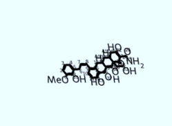 COc1cccc(C/C=C\c2ccc(O)c3c2C[C@H]2C[C@H]4CC(O)=C(C(N)=O)C(=O)C4(CCO)C(O)=C2C3=O)c1O